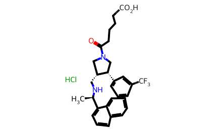 C[C@@H](NC[C@@H]1CN(C(=O)CCCCC(=O)O)C[C@@H]1c1cccc(C(F)(F)F)c1)c1cccc2ccccc12.Cl